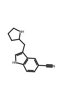 N#Cc1ccc2[nH]cc(CC3CCCN3)c2c1